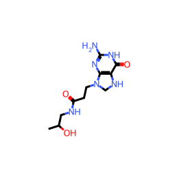 CC(O)CNC(=O)CCN1CNc2c1nc(N)[nH]c2=O